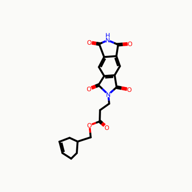 O=C(CCn1c(=O)c2cc3c(=O)[nH]c(=O)c3cc2c1=O)OCC1CC=CCC1